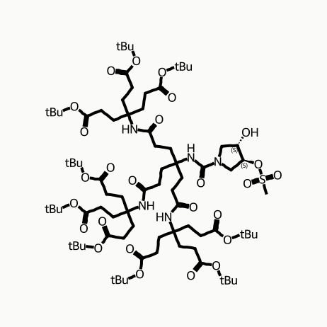 CC(C)(C)OC(=O)CCC(CCC(=O)OC(C)(C)C)(CCC(=O)OC(C)(C)C)NC(=O)CCC(CCC(=O)NC(CCC(=O)OC(C)(C)C)(CCC(=O)OC(C)(C)C)CCC(=O)OC(C)(C)C)(CCC(=O)NC(CCC(=O)OC(C)(C)C)(CCC(=O)OC(C)(C)C)CCC(=O)OC(C)(C)C)NC(=O)N1C[C@H](OS(C)(=O)=O)[C@@H](O)C1